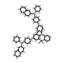 CC1(C)c2ccccc2-n2c3ccc(-c4ccc(N(c5ccccc5)c5ccc6ccccc6c5)cc4)cc3c3cc(-c4ccc(N(c5ccccc5)c5ccc6ccccc6c5)cc4)cc1c32